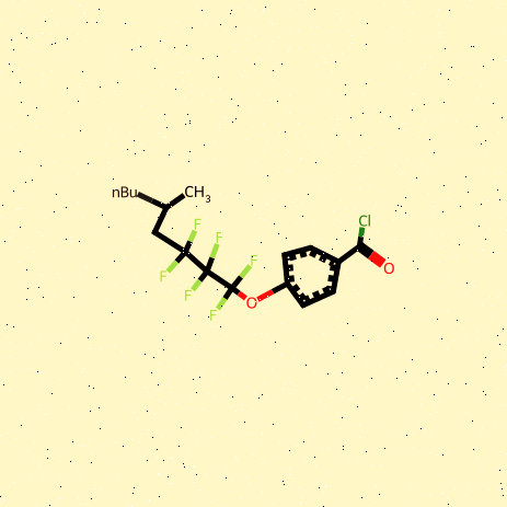 CCCCC(C)CC(F)(F)C(F)(F)C(F)(F)Oc1ccc(C(=O)Cl)cc1